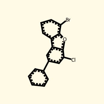 Clc1cc(-c2ccccc2)cc2c1oc1c(Br)cccc12